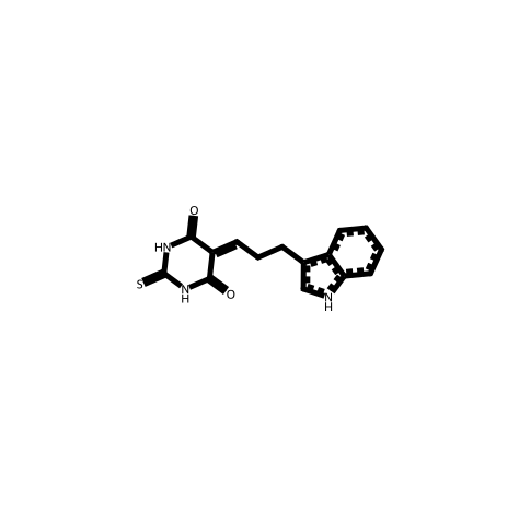 O=C1NC(=S)NC(=O)C1=CCCc1c[nH]c2ccccc12